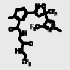 Cc1ccc(C2=NOC(c3cn(C)nc3C(F)(F)F)(C(F)(F)F)C2)cc1C(=O)NCC(=O)NCC(F)(F)F